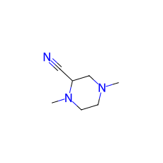 CN1CCN(C)C(C#N)C1